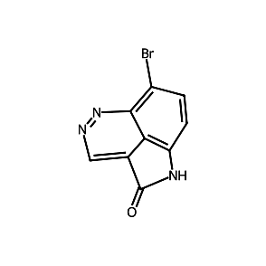 O=C1Nc2ccc(Br)c3nncc1c23